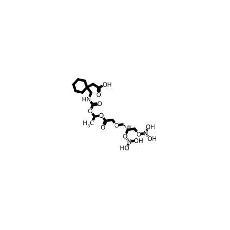 CC(OC(=O)COC[C@H](CON(O)O)ON(O)O)OC(=O)NCC1(CC(=O)O)CCCCC1